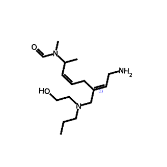 CCCN(CCO)C/C(=C/CN)CC=CC(C)N(C)C=O